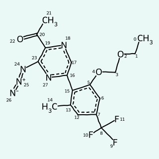 CCOCOc1cc(C(F)(F)F)cc(C)c1-c1cnc(C(C)=O)c(N=[N+]=[N-])n1